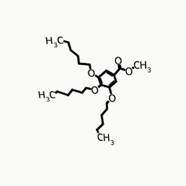 CCCCCCOc1cc(C(=O)OC)cc(OCCCCCC)c1OCCCCCC